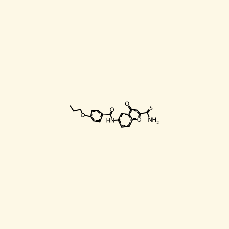 CCCOc1ccc(C(=O)Nc2ccc3oc(C(N)=S)cc(=O)c3c2)cc1